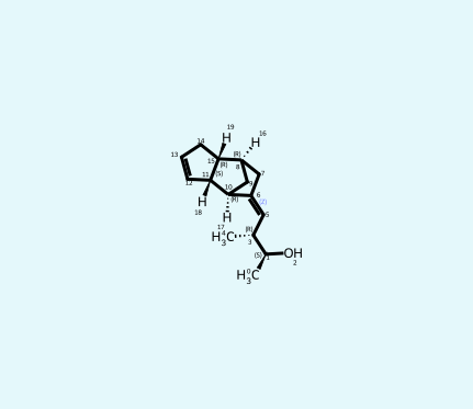 C[C@H](O)[C@H](C)/C=C1/C[C@H]2C[C@@H]1[C@@H]1C=CC[C@H]21